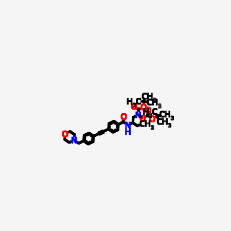 CCC(CN(OC(=O)OC(C)(C)C)C(=O)OC(C)(C)C)NC(=O)c1ccc(C#Cc2ccc(CN3CCOCC3)cc2)cc1